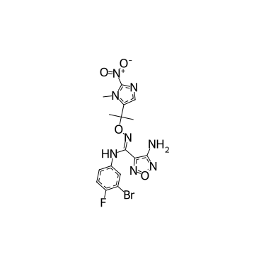 Cn1c(C(C)(C)O/N=C(\Nc2ccc(F)c(Br)c2)c2nonc2N)cnc1[N+](=O)[O-]